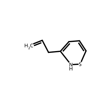 C=CCC1=CC=CSN1